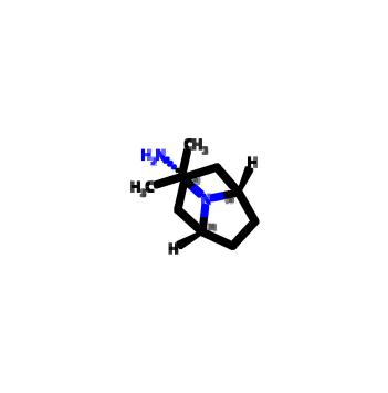 CC(C)N1[C@@H]2CC[C@H]1C[C@@H](N)C2